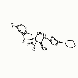 CC1(Cc2ccc(F)cc2F)NC(=O)C(C(=O)Nc2ccc(C3CCCCC3)cc2)=C1O